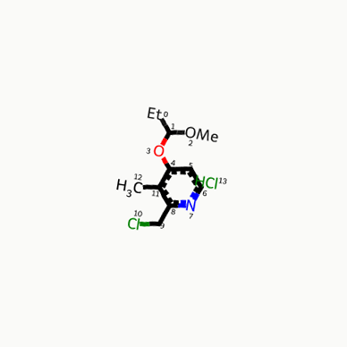 CCC(OC)Oc1ccnc(CCl)c1C.Cl